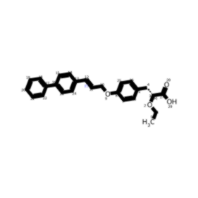 CCO[C@H](Cc1ccc(OC/C=C/c2ccc(-c3ccccc3)cc2)cc1)C(=O)O